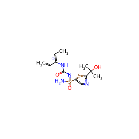 C=C/C(=C/C)NC(=O)N=S(N)(=O)c1cnc(C(C)(C)O)s1